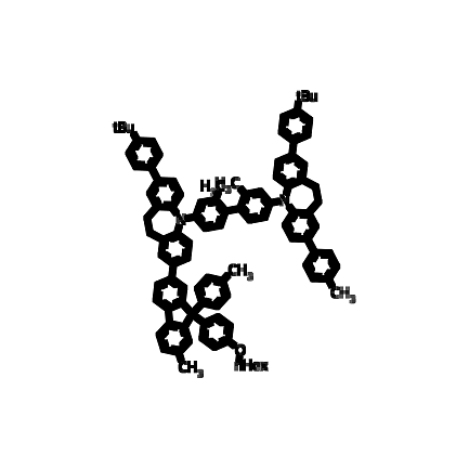 CCCCCCOc1ccc(C2(c3ccc(C)cc3)c3cc(C)ccc3-c3ccc(-c4ccc5c(c4)CCc4cc(-c6ccc(C(C)(C)C)cc6)ccc4N5c4ccc(-c5ccc(N6c7ccc(-c8ccc(C)cc8)cc7CCc7cc(-c8ccc(C(C)(C)C)cc8)ccc76)cc5C)c(C)c4)cc32)cc1